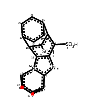 O=S(=O)(O)c1c2c(S(=O)(=O)O)c3nc4c5ccc(cc5)n4c3c1-c1ccc-2cc1